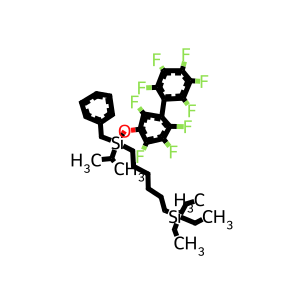 CC[Si](CC)(CC)CCCCCC[Si](Cc1ccccc1)(Oc1c(F)c(F)c(F)c(-c2c(F)c(F)c(F)c(F)c2F)c1F)C(C)C